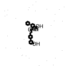 O=C(CCc1ccc(-c2cccc(O)c2)cc1)NC1=C(C(=O)O)CC[C@@H](c2ccccc2)C1